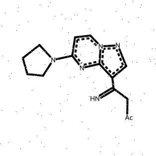 CC(=O)CC(=N)c1cnn2ccc(N3CCCC3)nc12